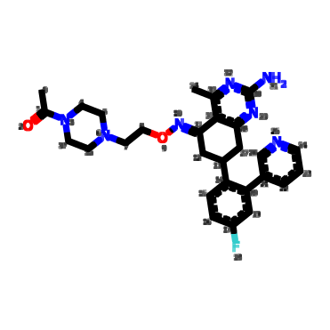 CC(=O)N1CCN(CCO/N=C2\CC(c3ccc(F)cc3-c3cccnc3)Cc3nc(N)nc(C)c32)CC1